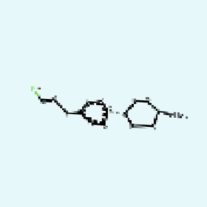 CCCCCC[C@H]1CC[C@H](c2ccc(CC=CF)cc2)CC1